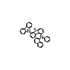 c1ccc(N(c2cccc3ccccc23)c2cccc3sc4c(-n5c6ccccc6c6ccccc65)cccc4c23)cc1